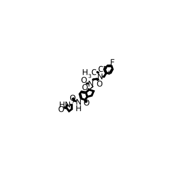 CC(N(Cc1ccc(F)cc1)C(=O)CN1C[C@]2(CCC3C(=O)C(NC(=O)[C@@H]4CCC(=O)N4)=CC=C32)OC1=O)C(F)(F)F